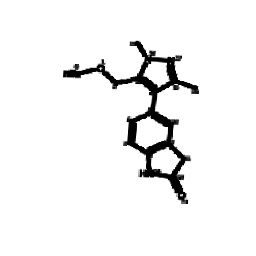 CCCCOCc1c(-c2ccc3c(c2)CC(=O)N3)c(C)nn1C